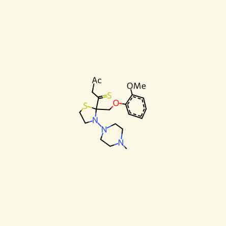 COc1ccccc1OCC1(C(=S)CC(C)=O)SCCN1N1CCN(C)CC1